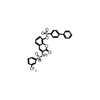 O=c1oc2c(OS(=O)(=O)c3ccc(-c4ccccc4)cc3)cccc2cc1NS(=O)(=O)c1cccc(C(F)(F)F)c1